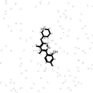 Cc1ccc(-c2nnc(CC3CCCNC3)c(C)c2C)c(O)c1